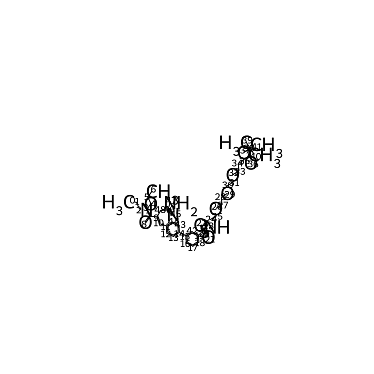 CCCN(OCC)C(=O)C1=Cc2ccc(-c3cccc(S(=O)(=O)NCCOCCOCCOCCC(=O)OC(C)(C)C)c3)cc2N=C(N)C1